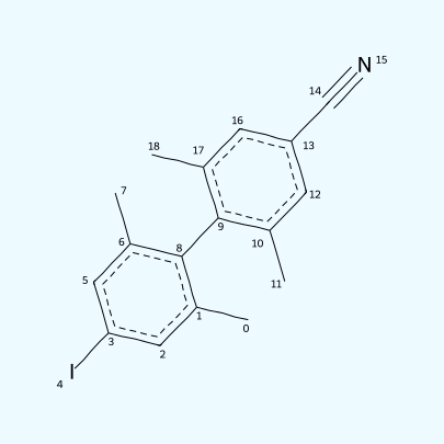 Cc1cc(I)cc(C)c1-c1c(C)cc(C#N)cc1C